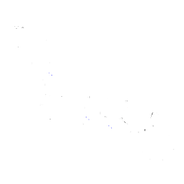 COc1ccc(NC(=O)c2cccc(-c3csc(NC(=O)[C@@H]4Cc5ccccc5[C@@H]4C)n3)c2)cc1Cl